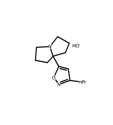 CCCc1cc(C23CCCN2CCC3)on1.Cl